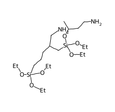 CCO[Si](CCCC(CN)C[Si](OCC)(OCC)OC(C)CCN)(OCC)OCC